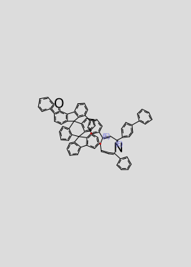 C1=CC/C(c2ccc(-c3cccc4c3C3(c5ccccc5C5(c6ccccc6-c6ccccc65)c5ccccc53)c3ccc5c(oc6ccccc65)c3-4)cc2)=C\C(c2ccc(-c3ccccc3)cc2)=N/C=1c1ccccc1